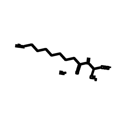 CCCCCCCCCCCCCCCCCC(=O)NC(C)C(=O)[O-].[Na+]